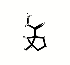 CCCOC(=O)C12CCCC1(C)O2